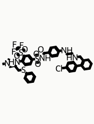 CN(C)C[C@H](CSc1ccccc1)Nc1ccc(S(=O)(=O)NC(=O)c2ccc(NCCNCC3=C(c4ccc(Cl)cc4)CCCC3)cc2)cc1S(=O)(=O)C(F)(F)F